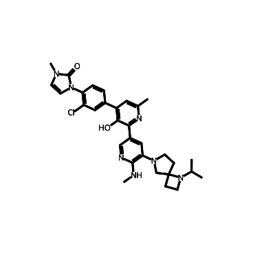 CNc1ncc(-c2nc(C)cc(-c3ccc(-n4ccn(C)c4=O)c(Cl)c3)c2O)cc1N1CCC2(CCN2C(C)C)C1